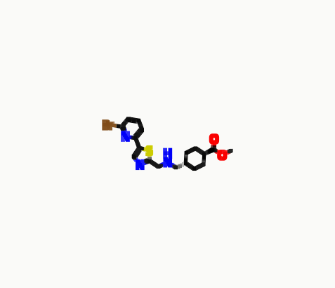 COC(=O)[C@H]1CC[C@H](CNCc2ncc(-c3cccc(Br)n3)s2)CC1